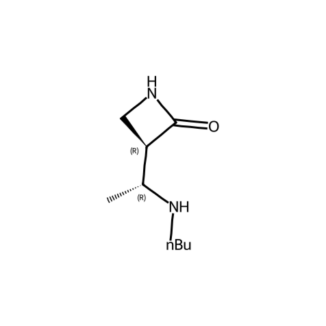 CCCCN[C@H](C)[C@H]1CNC1=O